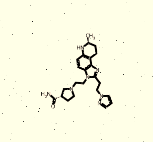 C[C@H]1CCc2c(ccc3c2nc(CCn2cccn2)n3CCN2CC[C@H](C(N)=O)C2)N1